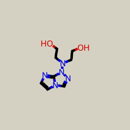 OCCN(CCO)n1ncn2ccnc12